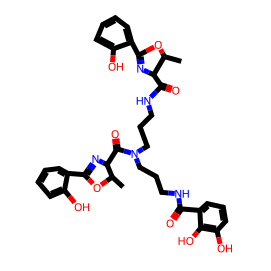 CC1OC(c2ccccc2O)=NC1C(=O)NCCCN(CCCNC(=O)c1cccc(O)c1O)C(=O)C1N=C(c2ccccc2O)OC1C